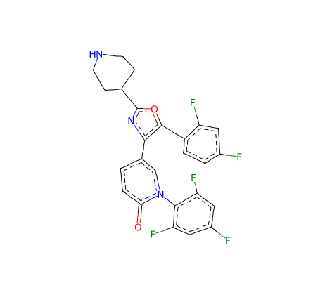 O=c1ccc(-c2nc(C3CCNCC3)oc2-c2ccc(F)cc2F)cn1-c1c(F)cc(F)cc1F